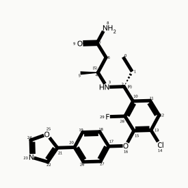 CC[C@@H](N[C@@H](C)CC(N)=O)c1ccc(Cl)c(Oc2ccc(-c3cnco3)cc2)c1F